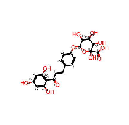 O=C(C=Cc1ccc(OC2OC(O)(C(=O)O)C(O)C(O)C2O)cc1)c1c(O)cc(O)cc1O